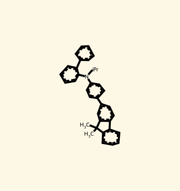 CC(C)N(c1ccc(-c2ccc3c(c2)C(C)(C)c2ccccc2-3)cc1)c1ccccc1-c1ccccc1